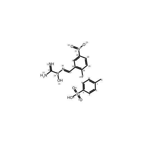 Cc1ccc(S(=O)(=O)O)cc1.N=C(N)N(O)/N=C/c1cc([N+](=O)[O-])ccc1F